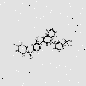 CC1CCN(C(=O)c2ccc(-c3cc(-c4ccnc(C(C)(C)C)c4)c4ccncc4c3)c(Cl)c2)CC1